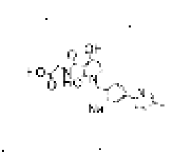 Cc1ccc(-c2ccc(CN3CCC(O)=C(C(=O)NCC(=O)O)C3=O)cc2)nc1.[Na]